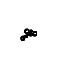 O=[P]=O.[Cu]